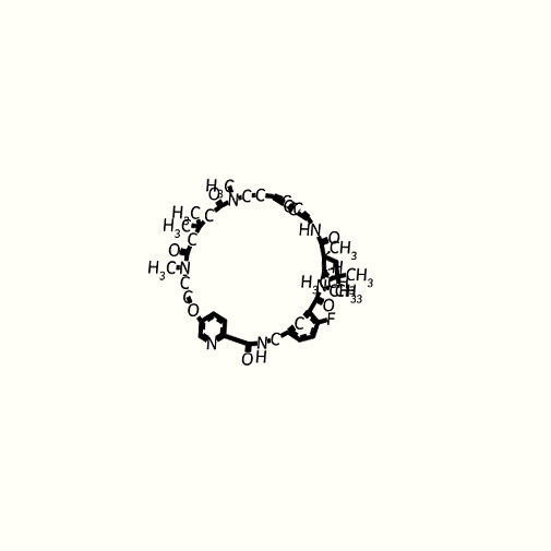 C[C@H]1N(C)C(=O)c2cc(ccc2F)CNC(=O)c2ccc(cn2)OCCN(C)C(=O)CC(C)(C)CC(=O)N(C)CCc2ccc(cc2)NC(=O)[C@@]1(C)CC(C)(C)C